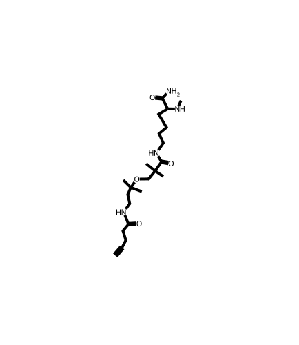 C#CCCC(=O)NCCC(C)(C)OCC(C)(C)C(=O)NCCCCC(NC)C(N)=O